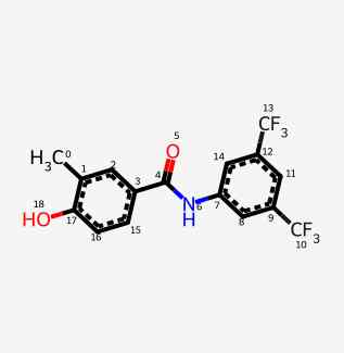 Cc1cc(C(=O)Nc2cc(C(F)(F)F)cc(C(F)(F)F)c2)ccc1O